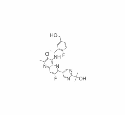 Cc1nc2cc(F)c(-c3cnc(C(C)(C)O)nc3)nc2c(N[C@H](C)c2cc(CO)ccc2F)c1Cl